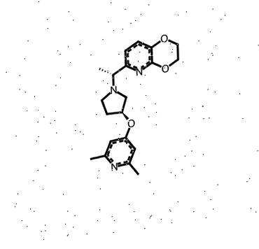 Cc1cc(O[C@H]2CCN([C@H](C)c3ccc4c(n3)OCCO4)C2)cc(C)n1